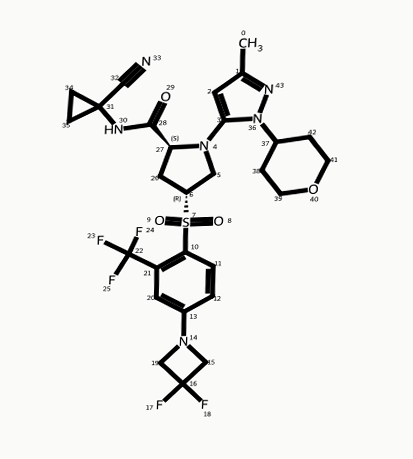 Cc1cc(N2C[C@H](S(=O)(=O)c3ccc(N4CC(F)(F)C4)cc3C(F)(F)F)C[C@H]2C(=O)NC2(C#N)CC2)n(C2CCOCC2)n1